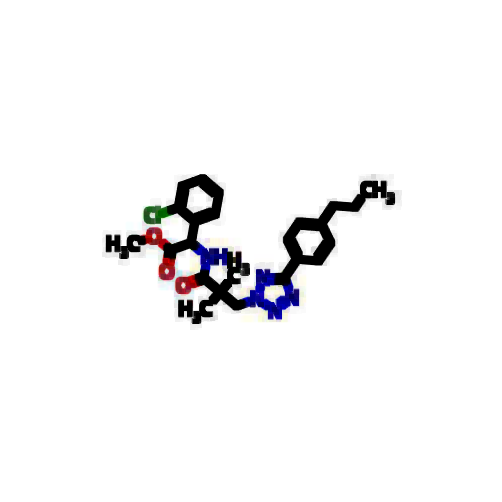 CCCc1ccc(-c2nnn(CC(C)(C)C(=O)NC(C(=O)OC)c3ccccc3Cl)n2)cc1